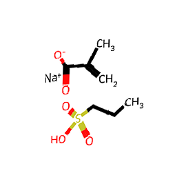 C=C(C)C(=O)[O-].CCCS(=O)(=O)O.[Na+]